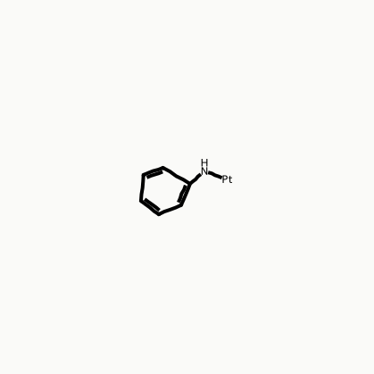 [Pt][NH]c1ccccc1